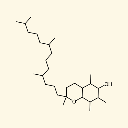 CC(C)CCCC(C)CCCC(C)CCCC1(C)CCC2C(C)C(O)C(C)C(C)C2O1